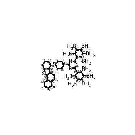 Bc1c(B)c(B)c(-c2nc(-c3ccc(-c4cccc5sc6c7ccccc7ccc6c45)cc3)nc(-c3c(B)c(B)c(B)c(B)c3B)n2)c(B)c1B